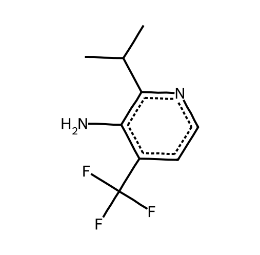 CC(C)c1nccc(C(F)(F)F)c1N